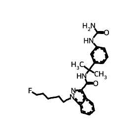 CC(C)(NC(=O)c1nn(CCCCCF)c2ccccc12)c1cccc(NC(N)=O)c1